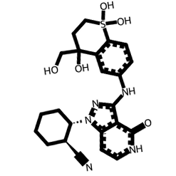 N#C[C@H]1CCCC[C@@H]1n1nc(Nc2ccc3c(c2)C(O)(CO)CCS3(O)O)c2c(=O)[nH]ccc21